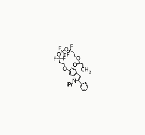 C=CC(=O)OCCC(F)(F)OC(F)(F)OC(F)(F)CCOc1ccc2cc(-c3ccccc3)n(C(C)C)c2c1